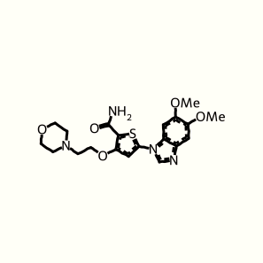 COc1cc2ncn(-c3cc(OCCN4CCOCC4)c(C(N)=O)s3)c2cc1OC